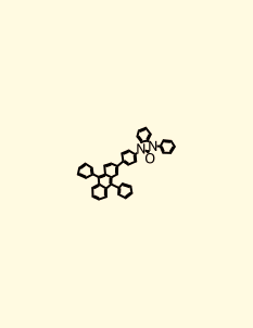 O=c1n(-c2ccccc2)c2ccccc2n1-c1ccc(-c2ccc3c(-c4ccccc4)c4ccccc4c(-c4ccccc4)c3c2)cc1